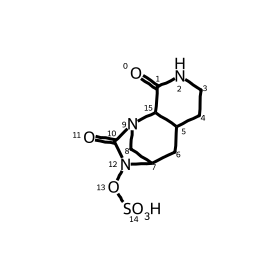 O=C1NCCC2CC3CN(C(=O)N3OS(=O)(=O)O)C12